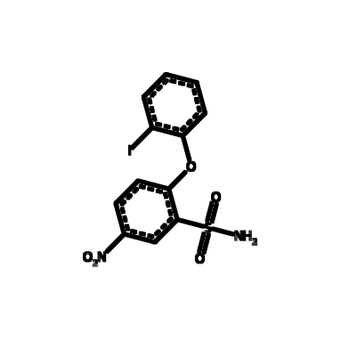 NS(=O)(=O)c1cc([N+](=O)[O-])ccc1Oc1ccccc1I